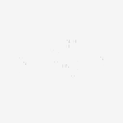 O=[N+]([O-])c1ccc(OP(=O)(O)CNS(=O)(=O)c2cccc3cnccc23)cc1.[NaH]